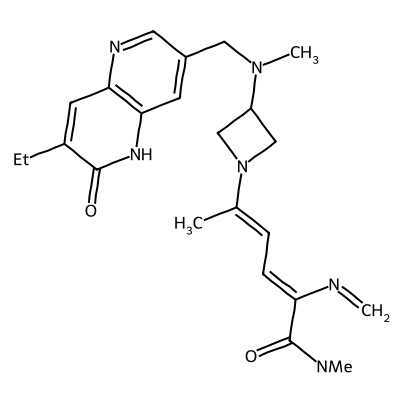 C=N/C(=C\C=C(/C)N1CC(N(C)Cc2cnc3cc(CC)c(=O)[nH]c3c2)C1)C(=O)NC